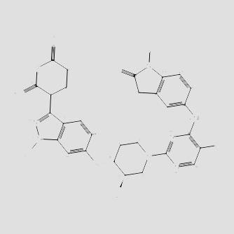 CN1C(=O)Cc2cc(Nc3nc(N4CC[C@@H](Nc5ccc6c(C7CCC(=O)NC7=O)nn(C)c6c5)[C@H](O)C4)ncc3Cl)ccc21